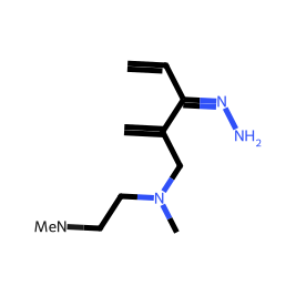 C=C/C(=N/N)C(=C)CN(C)CCNC